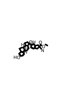 CCOC(=O)C1(C#N)Cc2ccc([C@]3(O)CC[C@H]4[C@@H]5CCc6cc(O)ccc6[C@H]5CC[C@@]43C)cc2C1